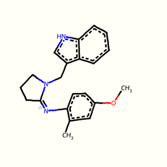 COc1ccc(/N=C2/CCCN2Cc2c[nH]c3ccccc23)c(C)c1